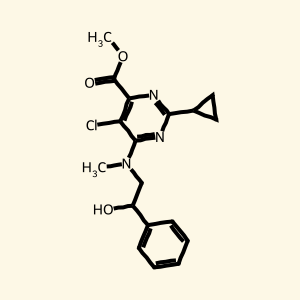 COC(=O)c1nc(C2CC2)nc(N(C)CC(O)c2ccccc2)c1Cl